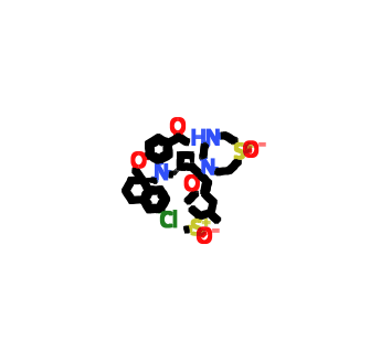 CCO[C@](/C=C/CC(C)C(C)[S+](C)[O-])([C@@H]1CC[C@H]1CN1C[C@@]2(CCCc3cc(Cl)ccc32)COc2ccc(C(C)=O)cc21)N1CCC[S+]([O-])CCNCC1